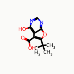 CC(C)(C)c1oc2ncnc(O)c2c1C(=O)O